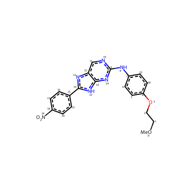 COCCOc1ccc(Nc2ncc3nc(-c4ccc([N+](=O)[O-])cc4)[nH]c3n2)cc1